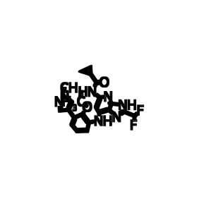 COc1c(Nc2cc(NC(=O)C3CC3)nc3[nH]c(C(F)F)nc23)cccc1-c1cnn(C)c1